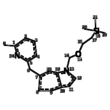 Cc1cccc(Cc2ccc3ccn(COCC[Si](C)(C)C)c3c2)n1